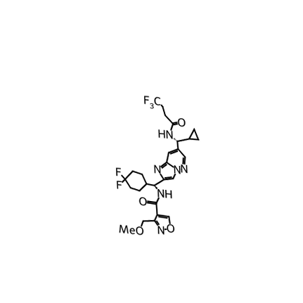 COCc1nocc1C(=O)N[C@H](c1cn2ncc([C@H](NC(=O)CCC(F)(F)F)C3CC3)cc2n1)C1CCC(F)(F)CC1